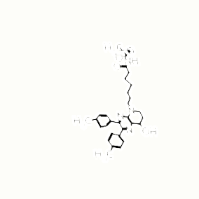 Cc1ccc(-c2nc3c(nc2-c2ccc(C)cc2)N(CCCCCCC(=O)NS(C)(=O)=O)CCC3O)cc1